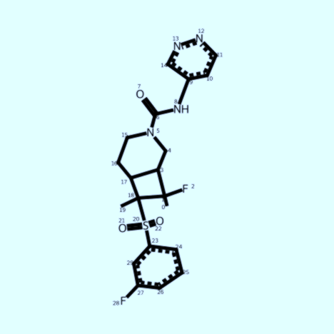 CC1(F)C2CN(C(=O)Nc3ccnnc3)CCC2C1(C)S(=O)(=O)c1cccc(F)c1